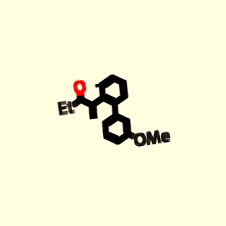 C=C(C(=O)CC)c1[c]cccc1-c1cccc(OC)c1